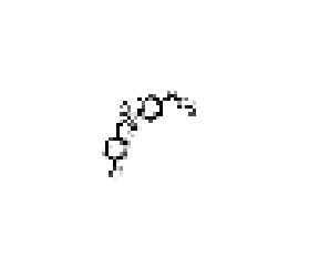 O=S(=O)(Cc1ccc(Cl)cc1)c1ccc(N=C=S)cn1